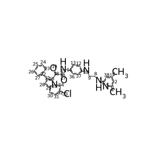 Cc1cc(C)nc(NCCNc2ccc(NC(=O)C(=O)c3c(-c4ccccc4)cc4ccc(Cl)cn34)cc2)c1